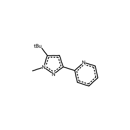 Cn1nc(-c2ccccn2)cc1C(C)(C)C